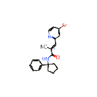 N#C/C(=C\c1cc(Br)ccn1)C(=O)NC1(c2ccccc2)CCCC1